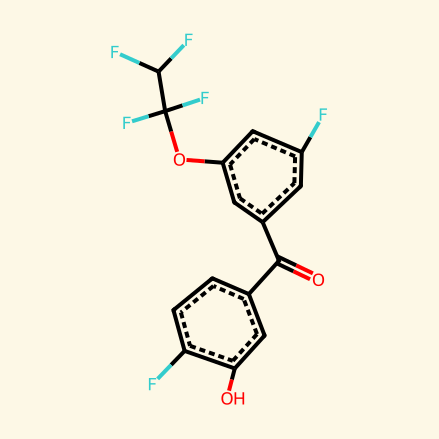 O=C(c1cc(F)cc(OC(F)(F)C(F)F)c1)c1ccc(F)c(O)c1